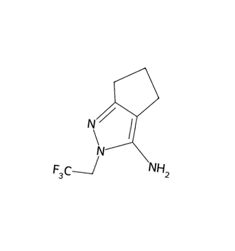 Nc1c2c(nn1CC(F)(F)F)CCC2